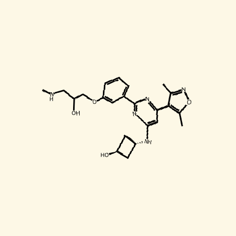 CNCC(O)COc1cccc(-c2nc(N[C@H]3C[C@H](O)C3)cc(-c3c(C)noc3C)n2)c1